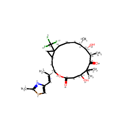 C/C(=C\c1csc(C)n1)[C@@H]1CC2CC2(C(F)(F)F)CCC[C@H](C)[C@H](O)[C@@H](C)C(=O)C(C)(C)[C@@H](O)CC(=O)O1